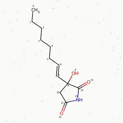 CCCCCCC=CC1(O)CC(=O)NC1=O